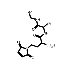 CC(=O)CNC(=O)C(NC(=O)C(CCN1C(=O)C=CC1=O)S(=O)(=O)O)C(C)C